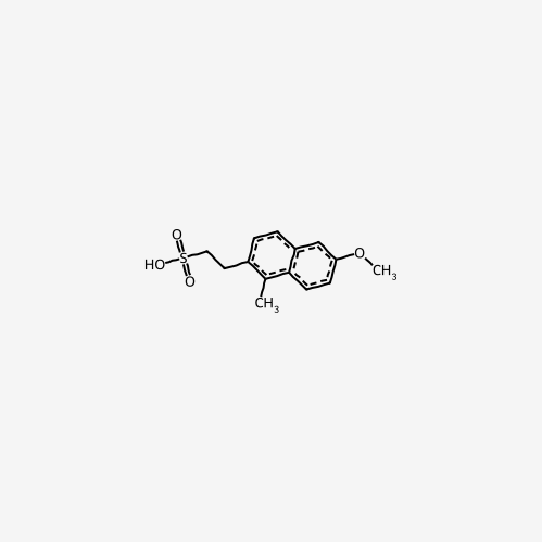 COc1ccc2c(C)c(CCS(=O)(=O)O)ccc2c1